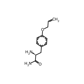 C=CCOc1ccc(C[C@H](N)C(N)=O)cc1